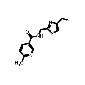 Cc1ccc(C(=O)NCc2nc(CF)cs2)cn1